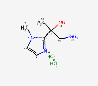 Cl.Cl.Cn1ccnc1C(O)(CN)C(F)(F)F